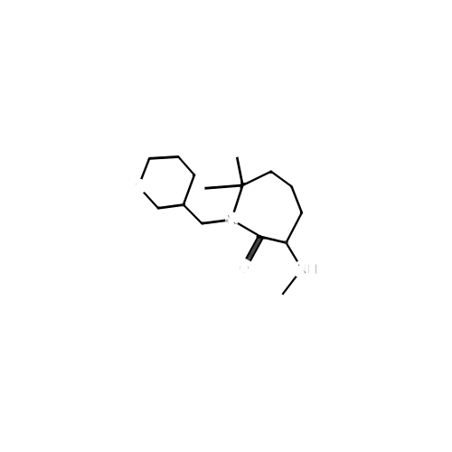 CNC1CCCC(C)(C)N(CC2CCCSC2)C1=O